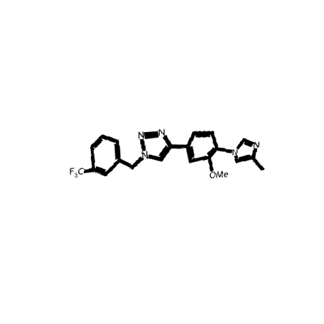 COc1cc(-c2cn(Cc3cccc(C(F)(F)F)c3)nn2)ccc1-n1cnc(C)c1